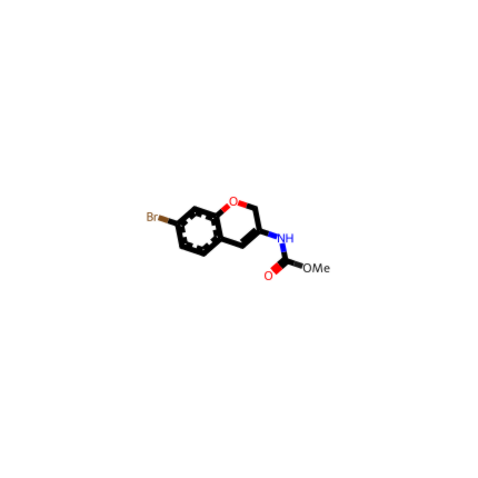 COC(=O)NC1=Cc2ccc(Br)cc2OC1